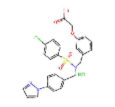 Cl.O=C(O)COc1cccc(CN(Cc2ccc(-n3cccn3)cc2)S(=O)(=O)c2ccc(Cl)cc2)c1